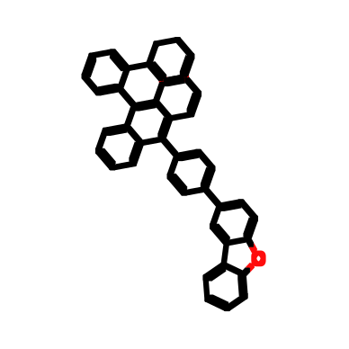 C1=CCCC(c2ccccc2-c2c3ccccc3c(-c3ccc(-c4ccc5oc6ccccc6c5c4)cc3)c3ccccc23)=C1